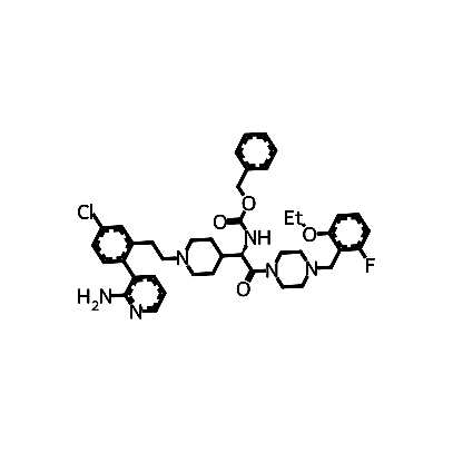 CCOc1cccc(F)c1CN1CCN(C(=O)[C@H](NC(=O)OCc2ccccc2)C2CCN(CCc3cc(Cl)ccc3-c3cccnc3N)CC2)CC1